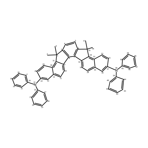 CC1(C)c2ccc3c(c2-c2ccc4cc(N(c5ccccc5)c5ccccc5)ccc4c21)-c1ccc2cc(N(c4ccccc4)c4ccccc4)ccc2c1C3(C)C